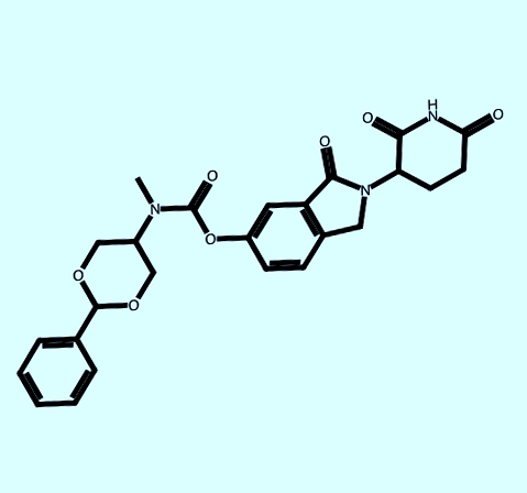 CN(C(=O)Oc1ccc2c(c1)C(=O)N(C1CCC(=O)NC1=O)C2)C1COC(c2ccccc2)OC1